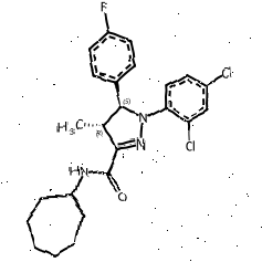 C[C@H]1C(C(=O)NC2CCCCCC2)=NN(c2ccc(Cl)cc2Cl)[C@@H]1c1ccc(F)cc1